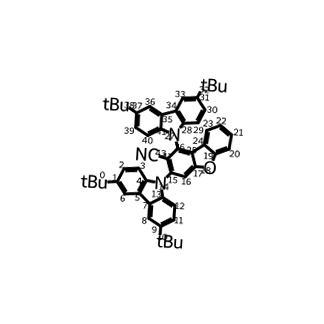 CC(C)(C)c1ccc2c(c1)c1cc(C(C)(C)C)ccc1n2-c1cc2oc3ccccc3c2c(-n2c3ccc(C(C)(C)C)cc3c3cc(C(C)(C)C)ccc32)c1C#N